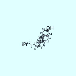 CC(C)CCC[C@@H](C)[C@H]1CCC2=C3CC[C@]4(C)C[C@@H](O)CC[C@]4(C)[C@H]3CC[C@@]21C